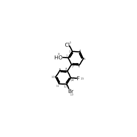 Oc1c(Cl)cccc1-c1cccc(Br)c1F